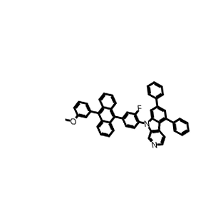 COc1cccc(-c2c3ccccc3c(-c3ccc(-n4c5cnccc5c5c(-c6ccccc6)cc(-c6ccccc6)cc54)c(F)c3)c3ccccc23)c1